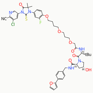 CC(C)(C)[C@H](NC(=O)COCCCOCCCCOc1ccc(N2C(=S)N(c3cnc(C#N)c(Cl)c3)C(=O)C2(C)C)cc1F)C(=O)N1C[C@H](O)C[C@H]1C(=O)NCc1ccc(-c2ccco2)cc1